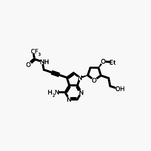 CCO[C@@H]1C[C@H](n2cc(C#CCNC(=O)C(F)(F)F)c3c(N)ncnc32)OC1CCO